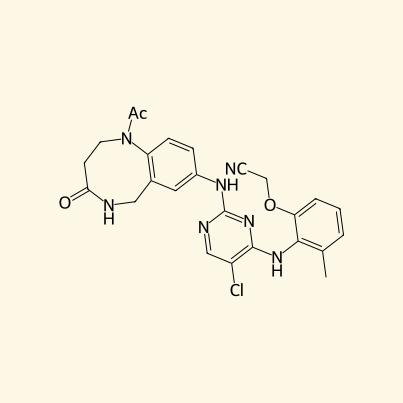 CC(=O)N1CCC(=O)NCc2cc(Nc3ncc(Cl)c(Nc4c(C)cccc4OCC#N)n3)ccc21